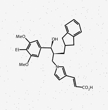 CCc1c(OC)cc([C@@H](O)[C@@H](CC2Cc3ccccc3C2)Cn2ccc(/C=C/C(=O)O)c2)cc1OC